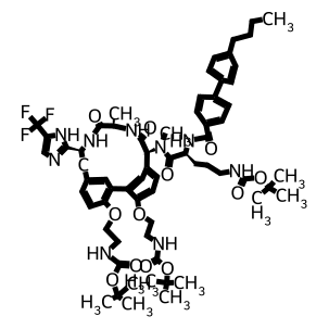 CCCCc1ccc(-c2ccc(C(=O)N[C@@H](CCCNC(=O)OC(C)(C)C)C(=O)N(C)[C@@H]3C(=O)N[C@@H](C)C(=O)N[C@H](c4ncc(C(F)(F)F)[nH]4)Cc4ccc(OCCNC(=O)OC(C)(C)C)c(c4)-c4cc3ccc4OCCNC(=O)OC(C)(C)C)cc2)cc1